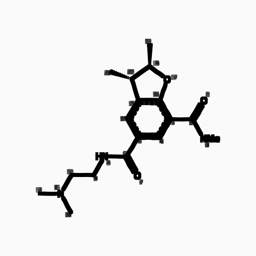 CNC(=O)c1cc(C(=O)NCCN(C)C)cc2c1O[C@H](C)[C@H]2C